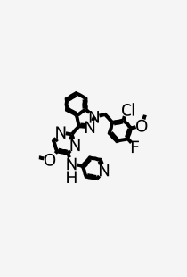 COc1cnc(-c2nn(Cc3ccc(F)c(OC)c3Cl)c3ccccc23)nc1Nc1ccncc1